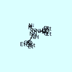 CCO[Si](CCCNc1nc(C=[N+]=[N-])nc(NCCC[Si](OCC)(OCC)OCC)n1)(OCC)OCC